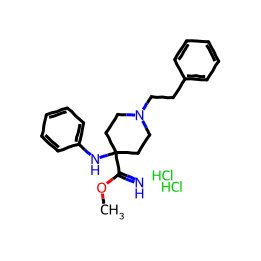 COC(=N)C1(Nc2ccccc2)CCN(CCc2ccccc2)CC1.Cl.Cl